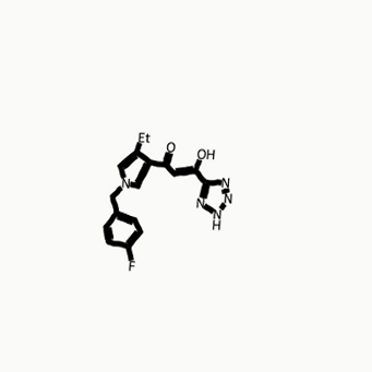 CCc1cn(Cc2ccc(F)cc2)cc1C(=O)C=C(O)c1nn[nH]n1